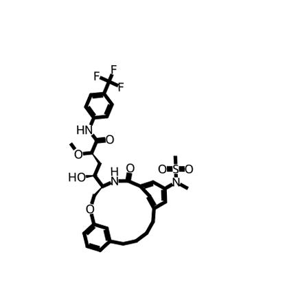 CO[C@H](C[C@H](O)[C@@H]1COc2cccc(c2)CCCCc2cc(cc(N(C)S(C)(=O)=O)c2)C(=O)N1)C(=O)Nc1ccc(C(F)(F)F)cc1